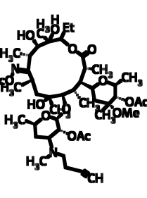 C#CCCN(C)C1C[C@@H](C)O[C@@H](O[C@@H]2[C@@H](C)[C@H](C3C[C@@](C)(OC)[C@@H](OC(C)=O)[C@H](C)O3)[C@@H](C)C(=O)OC(CC)[C@@](C)(O)[C@H](O)[C@@H](C)/C(=N/OC(C)=O)[C@H](C)C[C@@]2(C)O)[C@@H]1OC(C)=O